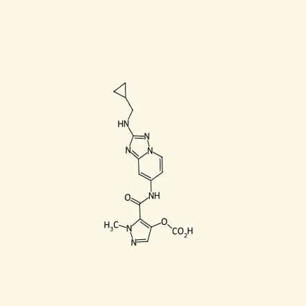 Cn1ncc(OC(=O)O)c1C(=O)Nc1ccn2nc(NCC3CC3)nc2c1